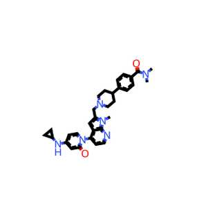 CN(C)C(=O)c1ccc(C2CCN(Cc3cc4c(-n5ccc(NC6CC6)cc5=O)ccnc4n3C)CC2)cc1